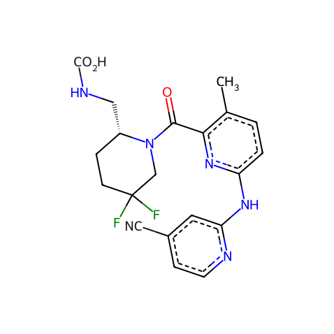 Cc1ccc(Nc2cc(C#N)ccn2)nc1C(=O)N1CC(F)(F)CC[C@@H]1CNC(=O)O